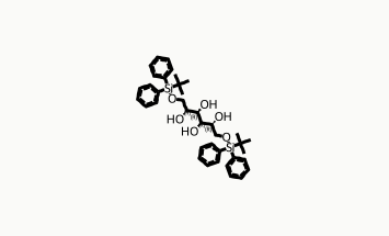 CC(C)(C)[Si](OC[C@@H](O)[C@@H](O)[C@H](O)[C@H](O)CO[Si](c1ccccc1)(c1ccccc1)C(C)(C)C)(c1ccccc1)c1ccccc1